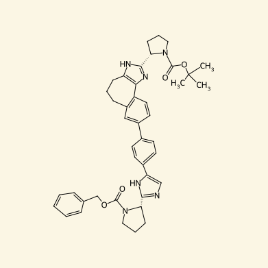 CC(C)(C)OC(=O)N1CCC[C@H]1c1nc2c([nH]1)CCCc1cc(-c3ccc(-c4cnc([C@@H]5CCCN5C(=O)OCc5ccccc5)[nH]4)cc3)ccc1-2